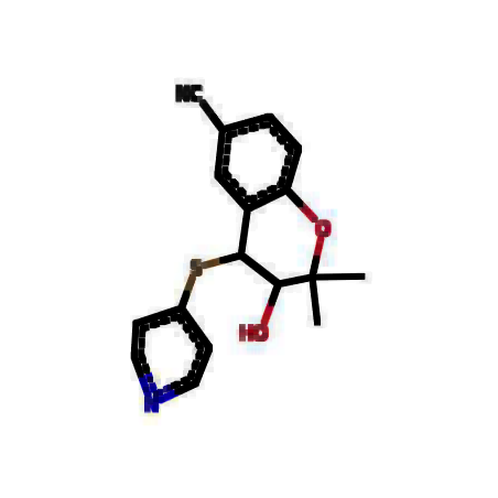 CC1(C)Oc2ccc(C#N)cc2C(Sc2ccncc2)C1O